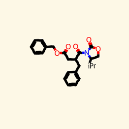 CC(C)C1COC(=O)N1C(=O)C(CC(=O)OCc1ccccc1)Cc1ccccc1